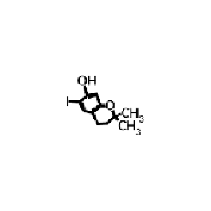 CC1(C)CCc2cc(I)c(O)cc2O1